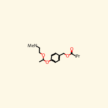 CNCCOC(C)Oc1ccc(COC(=O)C(C)C)cc1